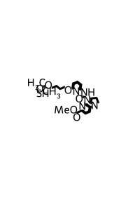 COC(=O)c1ccc2c(n1)N(C(=O)Nc1cccc(OCCCCOC(C)(C)OS)n1)C1CCN2C1